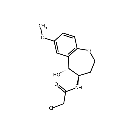 COc1ccc2c(c1)[C@@H](O)[C@H](NC(=O)CCl)CCO2